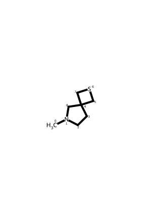 CN1CCC2(CSC2)C1